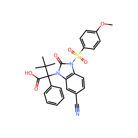 COc1ccc(S(=O)(=O)n2c(=O)n(C(C(=O)O)(c3ccccc3)C(C)(C)C)c3cc(C#N)ccc32)cc1